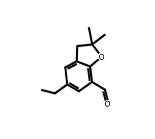 CCc1cc(C=O)c2c(c1)CC(C)(C)O2